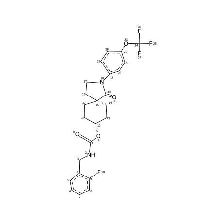 O=C(NCc1ccccc1F)O[C@H]1CC[C@@]2(CCN(c3ccc(OC(F)(F)F)cc3)C2=O)CC1